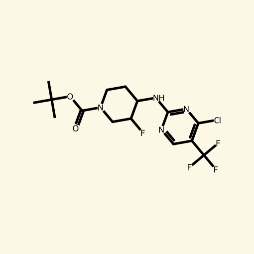 CC(C)(C)OC(=O)N1CCC(Nc2ncc(C(F)(F)F)c(Cl)n2)C(F)C1